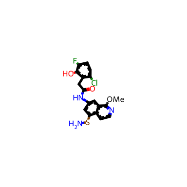 COc1nccc2c(SN)cc(NC(=O)Cc3c(Cl)ccc(F)c3O)cc12